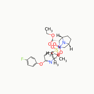 CCOC(=O)[C@@H]1[C@@H]2CC[C@H](CN1S(=O)(=O)c1ccc(Oc3ccc(F)cc3)nc1)N2C(=O)OC(C)(C)C